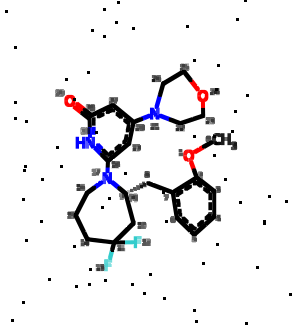 COc1ccccc1C[C@@H]1CC(F)(F)CCCN1c1cc(N2CCOCC2)cc(=O)[nH]1